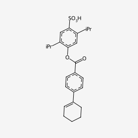 CC(C)c1cc(S(=O)(=O)O)c(C(C)C)cc1OC(=O)c1ccc(C2=CCCCC2)cc1